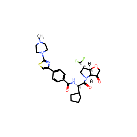 CN1CCN(c2nc(-c3ccc(C(=O)N[C@H](C(=O)N4C[C@H](C(F)F)[C@H]5OCC(=O)[C@H]54)C4CCCC4)cc3)cs2)CC1